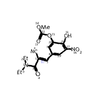 CCN(CC)C(=O)/C(C#N)=C/c1cc(OC(=O)OC)c(O)c([N+](=O)[O-])c1